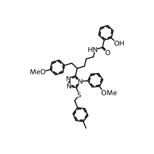 COc1ccc(CC(CCCNC(=O)c2ccccc2O)c2nnc(SCc3ccc(C)cc3)n2-c2cccc(OC)c2)cc1